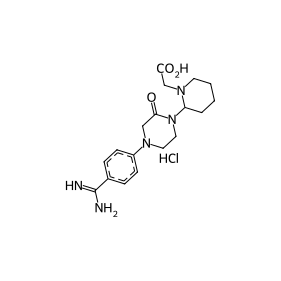 Cl.N=C(N)c1ccc(N2CCN(C3CCCCN3CC(=O)O)C(=O)C2)cc1